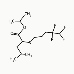 CC(C)CC(SCCCC(F)(F)C(F)F)C(=O)OC(C)C